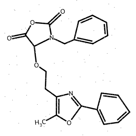 Cc1oc(-c2ccccc2)nc1CCOC1C(=O)OC(=O)N1Cc1ccccc1